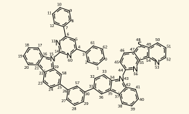 c1ccc(-c2cc(-c3ccccc3)nc(-n3c4ccccc4c4ccc(-c5cccc(-c6ccc7c(c6)c6ccccc6n7-c6ccc7sc8cccnc8c7n6)c5)cc43)n2)cc1